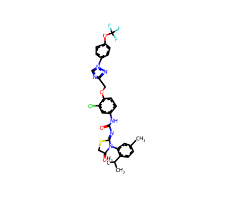 Cc1ccc(C(C)C)c(N2C(=O)CSC2=NC(=O)Nc2ccc(OCc3ncn(-c4ccc(OC(F)(F)F)cc4)n3)c(Cl)c2)c1